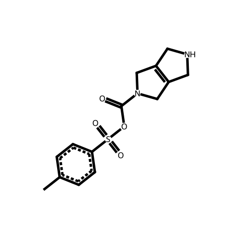 Cc1ccc(S(=O)(=O)OC(=O)N2CC3=C(CNC3)C2)cc1